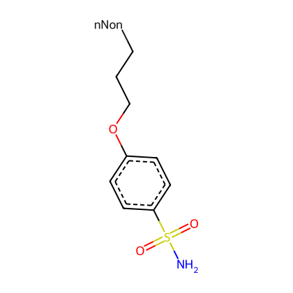 CCCCCCCCCCCCOc1ccc(S(N)(=O)=O)cc1